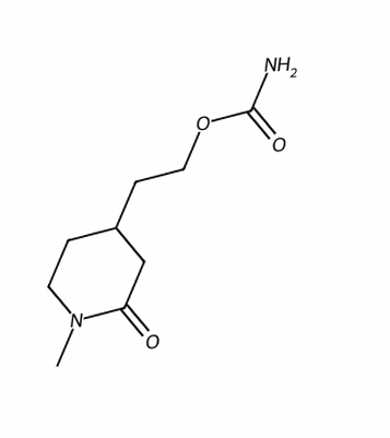 CN1CCC(CCOC(N)=O)CC1=O